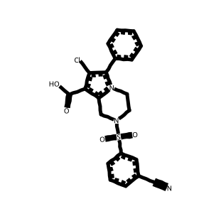 N#Cc1cccc(S(=O)(=O)N2CCn3c(c(C(=O)O)c(Cl)c3-c3ccccc3)C2)c1